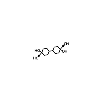 C#CC1(O)CCC(C2CCC(O)(C#C)CC2)CC1